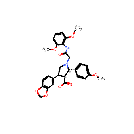 COc1ccc([C@@H]2[C@@H](C(=O)O)C(c3ccc4c(c3)OCO4)CN2CC(=O)Nc2c(OC)cccc2OC)cc1